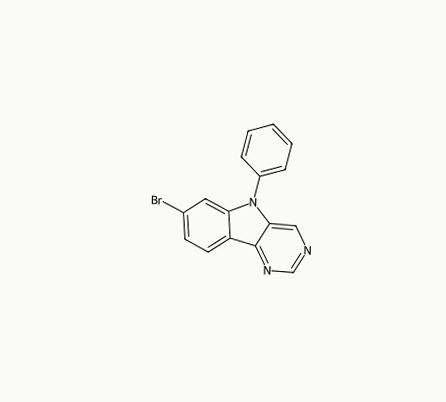 Brc1ccc2c3ncncc3n(-c3ccccc3)c2c1